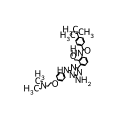 CCN(CC)CCOc1ccc(Nc2nc(N)nc(-c3cccc(NC(=O)c4ccc(C(C)(C)C)cc4)c3CO)n2)cc1